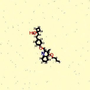 CCCCOc1c(C)c(COc2ccc(CCC3(O)CCC3)cc2)nc2ccccc12